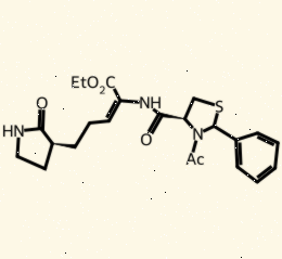 CCOC(=O)C(=CCC[C@H]1CCNC1=O)NC(=O)[C@H]1CSC(c2ccccc2)N1C(C)=O